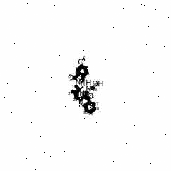 COc1ccc2c(c1)C(=O)N(C[C@](C)(NC(=O)NCO)/C(C)=C\c1ccc3ccccc3n1)C2